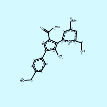 COC(=O)c1[nH]c(-c2ccc(CO)cc2)c([N+](=O)[O-])c1-c1cc(CO)cc(OC)c1